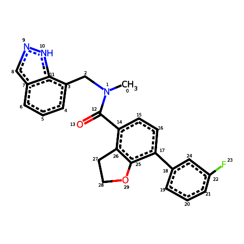 CN(Cc1cccc2cn[nH]c12)C(=O)c1ccc(-c2cccc(F)c2)c2c1CCO2